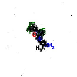 Cc1cc(Cn2cc(C(=O)Nc3ccc(C(F)(F)F)c(C(F)(F)F)c3)c(C(F)(F)C(F)(F)F)n2)ccc1N